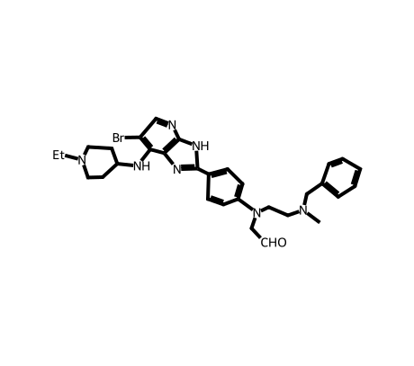 CCN1CCC(Nc2c(Br)cnc3[nH]c(-c4ccc(N(CC=O)CCN(C)Cc5ccccc5)cc4)nc23)CC1